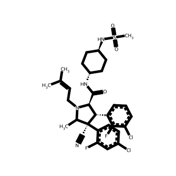 CC(C)=CCN1C(C)[C@](C#N)(c2ccc(Cl)cc2F)[C@@H](c2cccc(Cl)c2F)[C@@H]1C(=O)N[C@H]1CC[C@H](NS(C)(=O)=O)CC1